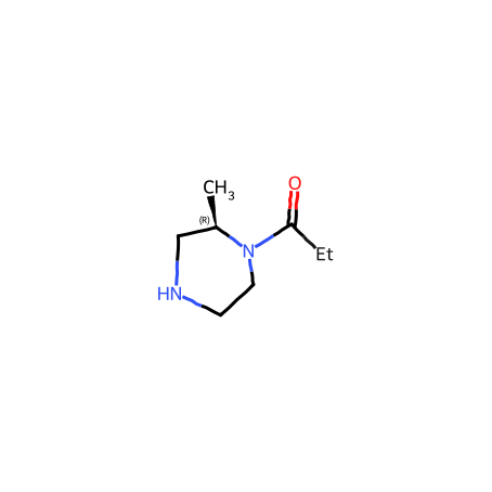 CCC(=O)N1CCNC[C@H]1C